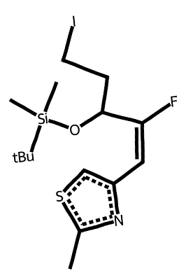 Cc1nc(/C=C(/F)C(CCI)O[Si](C)(C)C(C)(C)C)cs1